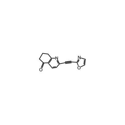 O=C1CCCc2nc(C#Cc3ncco3)ccc21